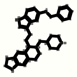 c1ccc(COc2ccc3[nH]cc(CCC4c5cc6c(cc5CCN4CC4CCOCC4)OCO6)c3c2)cc1